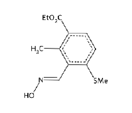 CCOC(=O)c1ccc(SC)c(/C=N/O)c1C